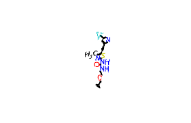 Cc1nc(NC(=O)NCCOCC2CC2)sc1C#Cc1cncc(C(F)(F)F)c1